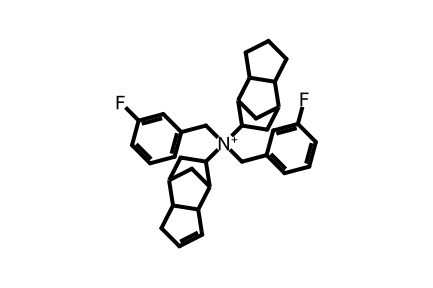 Fc1cccc(C[N+](Cc2cccc(F)c2)(C2CC3CC2C2C=CCC32)C2CC3CC2C2CCCC32)c1